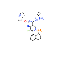 NC1(CNc2nc(OCC34CCCN3CCC4)nc3c(F)c(-c4cccc5cccc(P)c45)ncc23)CCC1